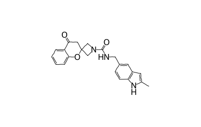 Cc1cc2cc(CNC(=O)N3CC4(CC(=O)c5ccccc5O4)C3)ccc2[nH]1